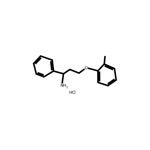 Cc1ccccc1OCCC(N)c1ccccc1.Cl